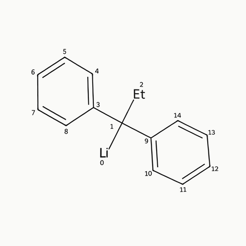 [Li][C](CC)(c1ccccc1)c1ccccc1